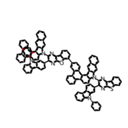 c1ccc(-n2c3ccccc3c3ccc(-c4nc5oc6c(-c7ccc8c(c7)c7ccccc7c7ccc9c(c%10cc%11ccccc%11cc%10n9-c9nc%10c(nc9-c9ccc%11c%12ccccc%12n(-c%12ccccc%12)c%11c9)sc9ccccc9%10)c78)cccc6c5nc4-n4c5cc6ccccc6cc5c5c6c7ccccc7c7ccccc7c6ccc54)cc32)cc1